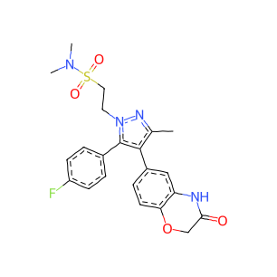 Cc1nn(CCS(=O)(=O)N(C)C)c(-c2ccc(F)cc2)c1-c1ccc2c(c1)NC(=O)CO2